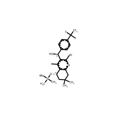 CC(C)c1nc2c(c(I)c1[C@@H](O)c1ccc(C(F)(F)C(F)(F)F)cc1)[C@@H](O[Si](C)(C)C(C)(C)C)CC(C)(C)C2